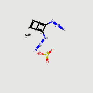 O=[SH](=O)O.[N-]=[N+]=Nc1c2ccc-2c1N=[N+]=[N-].[NaH]